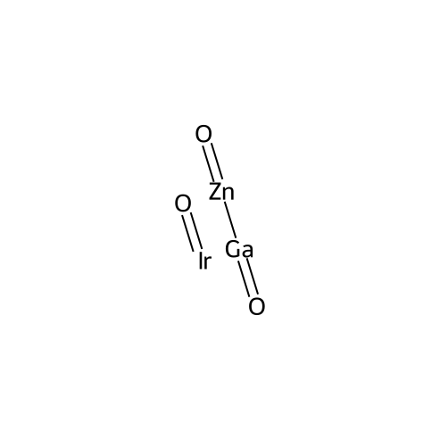 [O]=[Ir].[O]=[Zn][Ga]=[O]